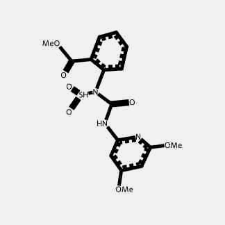 COC(=O)c1ccccc1N(C(=O)Nc1cc(OC)cc(OC)n1)[SH](=O)=O